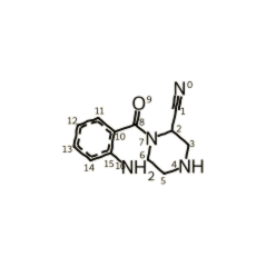 N#CC1CNCCN1C(=O)c1ccccc1N